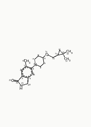 Cc1cc2c(nc1N1CCC(OCC3CC3(C)C)CC1)CNC2=O